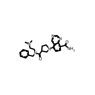 CN(C)CCN(Cc1ccccc1)C(=O)C1CCN(c2ccc(C(N)=O)c3ncncc23)C1